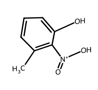 Cc1cccc(O)c1[N+](=O)O